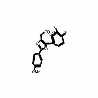 CCOC(=O)Cc1nc(-c2ccc(OC)cc2)oc1-c1ccc(F)c(F)c1